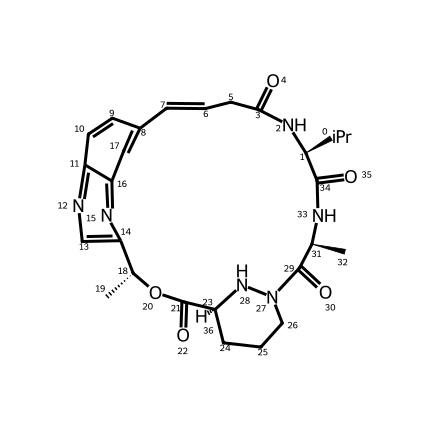 CC(C)[C@@H]1NC(=O)C/C=C/c2ccc3ncc(nc3c2)[C@@H](C)OC(=O)[C@@H]2CCCN(N2)C(=O)[C@H](C)NC1=O